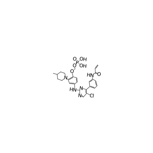 C=CC(=O)Nc1cccc(-c2nc(Nc3ccc(OCOP(=O)(O)O)c(N4CCC(C)CC4)c3)ncc2Cl)c1